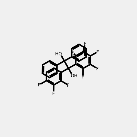 OC(c1ccccc1)(c1ccccc1)C(O)(c1ccc(F)c(F)c1F)c1c(F)c(F)c(F)c(F)c1F